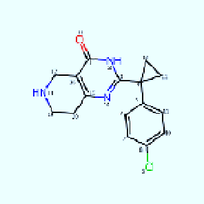 O=c1[nH]c(C2(c3ccc(Cl)cc3)CC2)nc2c1CNCC2